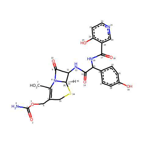 NC(=O)OCC1=C(C(=O)O)N2C(=O)C(NC(=O)C(NC(=O)c3cnccc3O)c3ccc(O)cc3)[C@H]2SC1